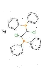 ClC(C(Cl)P(c1ccccc1)c1ccccc1)P(c1ccccc1)c1ccccc1.[Pd]